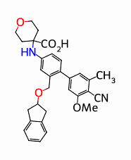 COc1cc(-c2ccc(NC3(C(=O)O)CCOCC3)cc2COC2Cc3ccccc3C2)cc(C)c1C#N